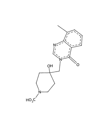 Cc1cccc2c(=O)n(CC3(O)CCN(C(=O)O)CC3)cnc12